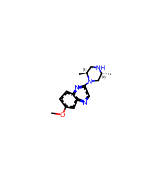 COc1ccc2nc(N3C[C@@H](C)NC[C@@H]3C)cnc2c1